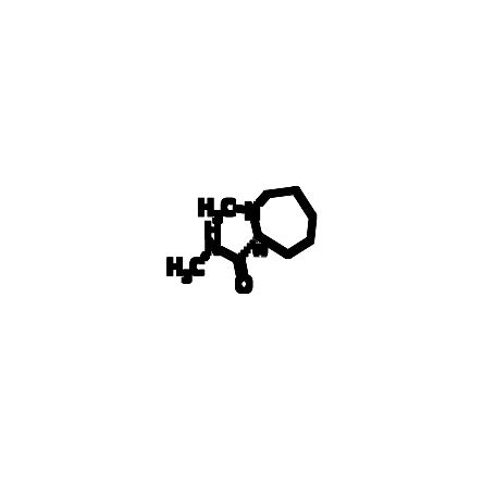 CNC(=O)[C@H]1CCCCCN1C